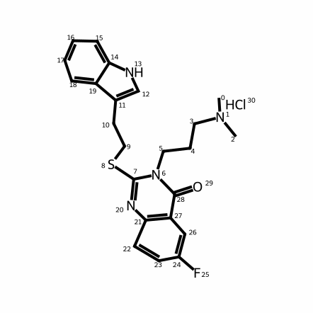 CN(C)CCCn1c(SCCc2c[nH]c3ccccc23)nc2ccc(F)cc2c1=O.Cl